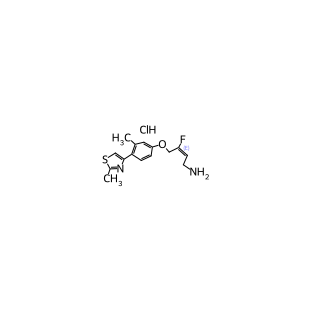 Cc1nc(-c2ccc(OC/C(F)=C\CN)cc2C)cs1.Cl